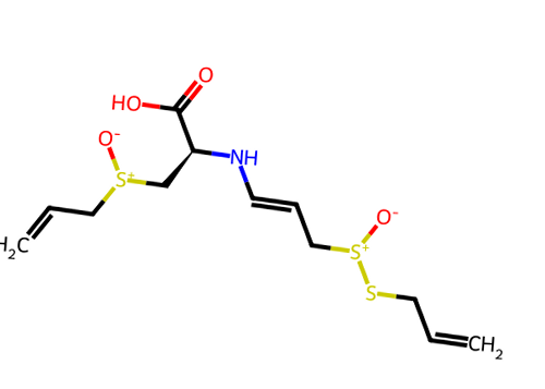 C=CCS[S+]([O-])CC=CN[C@@H](C[S+]([O-])CC=C)C(=O)O